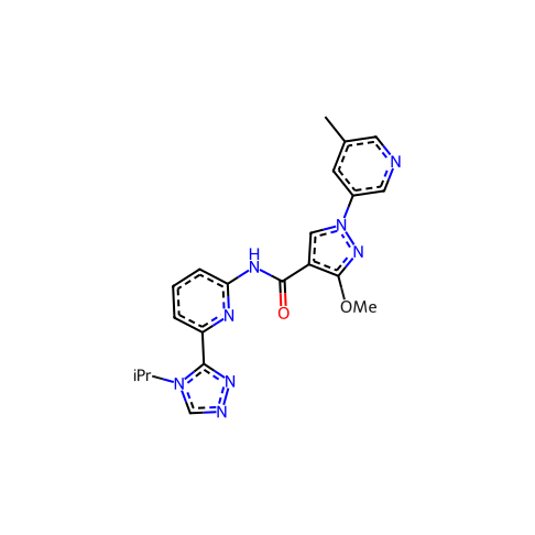 COc1nn(-c2cncc(C)c2)cc1C(=O)Nc1cccc(-c2nncn2C(C)C)n1